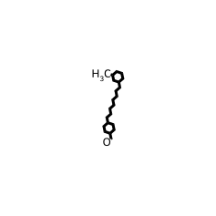 CC1CCCC(CCCCCCCCC2CCC(C=O)CC2)C1